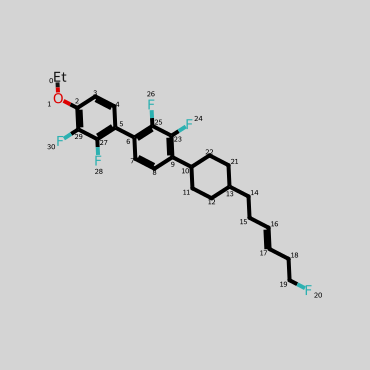 CCOc1ccc(-c2ccc(C3CCC(CC/C=C/CCF)CC3)c(F)c2F)c(F)c1F